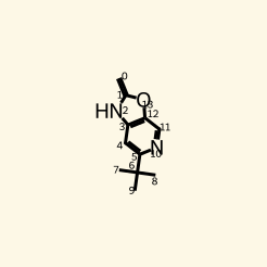 C=C1Nc2cc(C(C)(C)C)ncc2O1